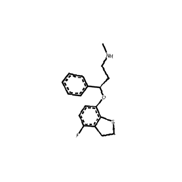 CNCC[C@@H](Oc1ccc(F)c2c1SCC2)c1ccccc1